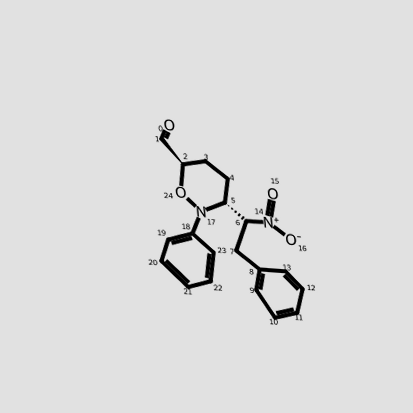 O=C[C@H]1CC[C@H](C(Cc2ccccc2)[N+](=O)[O-])N(c2ccccc2)O1